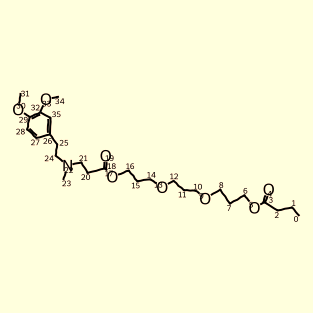 CCCC(=O)OCCCOCCCOCCCOC(=O)CCN(C)CCc1ccc(OC)c(OC)c1